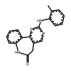 Cc1ccccc1Nc1ncc2c(n1)-c1ccccc1NC(=O)C2